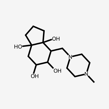 CN1CCN(CC2C(O)C(O)CC3(O)CCCC23O)CC1